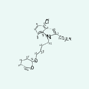 CCOC(=O)c1cc2c(Cl)cccc2n1CCCCOC1CCCCO1